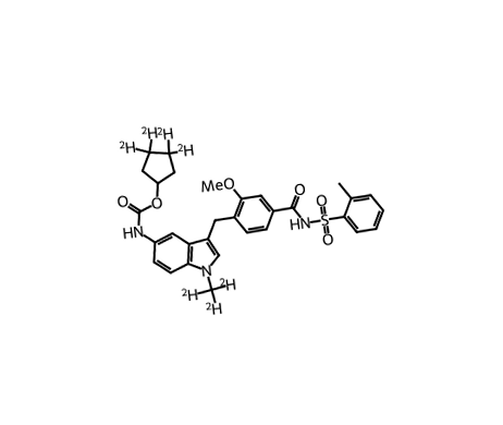 [2H]C([2H])([2H])n1cc(Cc2ccc(C(=O)NS(=O)(=O)c3ccccc3C)cc2OC)c2cc(NC(=O)OC3CC([2H])([2H])C([2H])([2H])C3)ccc21